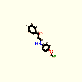 O=C(C=CNc1ccc(OCF)cc1)c1ccccc1